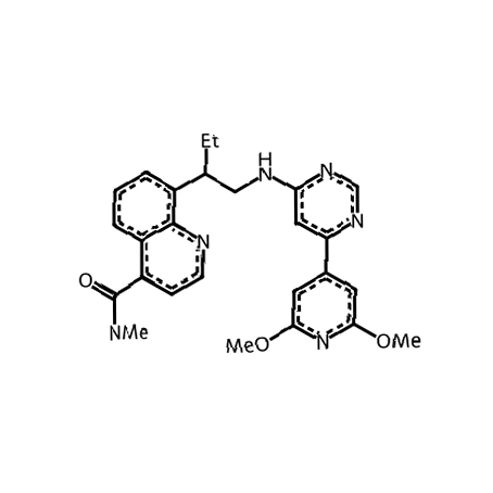 CCC(CNc1cc(-c2cc(OC)nc(OC)c2)ncn1)c1cccc2c(C(=O)NC)ccnc12